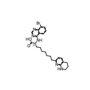 O=C(O)[C@H](CCCCCCCc1ccc2c(n1)NCCC2)Nc1ncnc2c(Br)cccc12